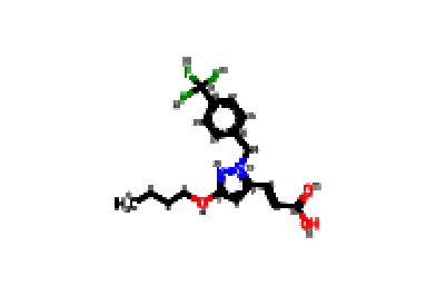 CCCCOc1cc(C=CC(=O)O)n(Cc2ccc(C(F)(F)F)cc2)n1